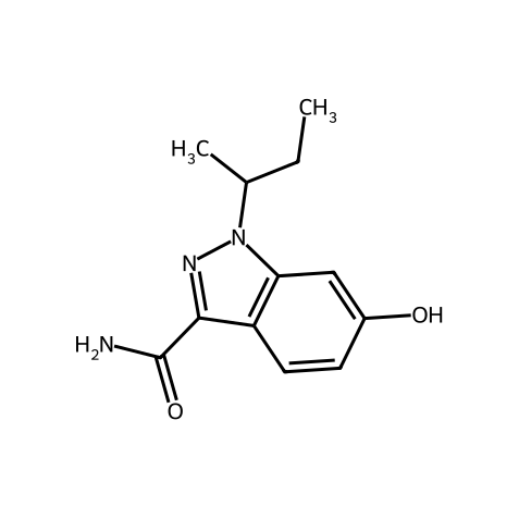 CCC(C)n1nc(C(N)=O)c2ccc(O)cc21